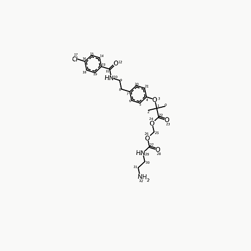 CC(C)(Oc1ccc(CCNC(=O)c2ccc(Cl)cc2)cc1)C(=O)OCOC(=O)NCCN